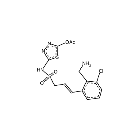 CC(=O)Oc1nnc(NS(=O)(=O)CC=Cc2cccc(Cl)c2CN)s1